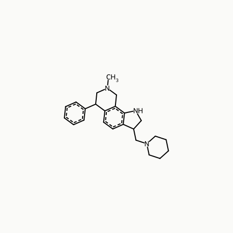 CN1Cc2c(ccc3c2NCC3CN2CCCCC2)C(c2ccccc2)C1